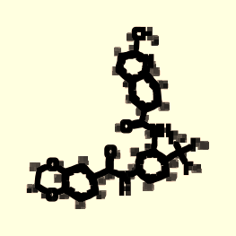 Cc1ccc2cc(C(=O)Nc3cc(NC(=O)c4ccc5c(c4)OCCO5)ccc3C(F)(F)F)ccc2n1